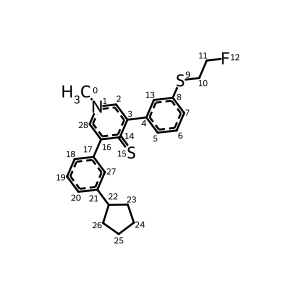 Cn1cc(-c2cccc(SCCF)c2)c(=S)c(-c2cccc(C3CCCC3)c2)c1